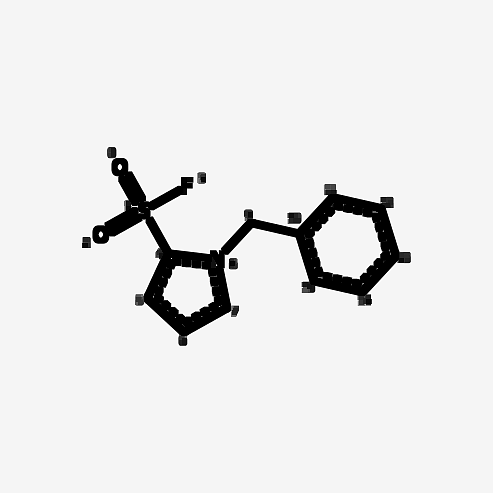 O=S(=O)(F)c1cccn1Cc1ccccc1